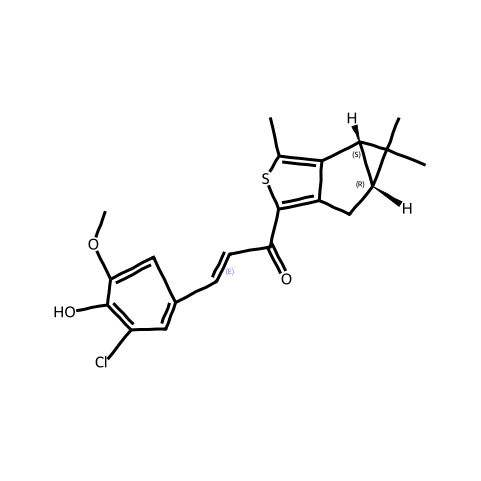 COc1cc(/C=C/C(=O)c2sc(C)c3c2C[C@@H]2[C@H]3C2(C)C)cc(Cl)c1O